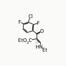 CCN/C=C(\C(=O)OCC)C(=O)c1ccc(F)c(Cl)c1F